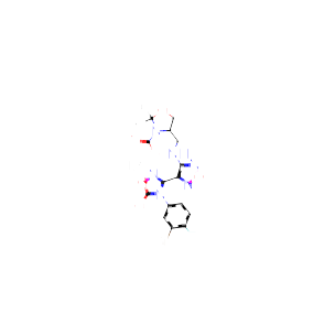 CC(C)(C)OC(=O)N1C(CNc2nonc2-c2noc(=O)n2-c2ccc(F)c(Br)c2)COC1(C)C